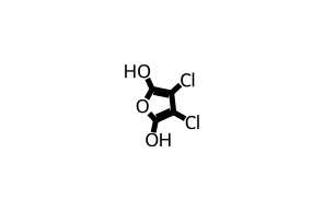 Oc1oc(O)c(Cl)c1Cl